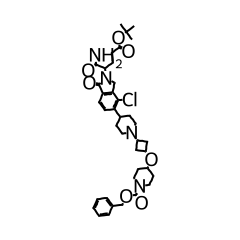 CC(C)(C)OC(=O)CCC(C(N)=O)N1Cc2c(ccc(C3CCN(C4CC(OC5CCN(C(=O)OCc6ccccc6)CC5)C4)CC3)c2Cl)C1=O